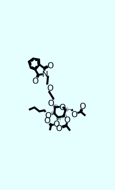 CCCCO[C@@H]1[C@@H](OCCOCCN2C(=O)c3ccccc3C2=O)O[C@H](COC(C)=O)[C@@H](OC(C)=O)[C@@H]1OC(C)=O